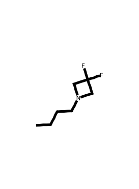 CCCCN1CC(F)(F)C1